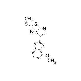 COc1cccc2sc(-c3cnc4sc(SC)nn34)nc12